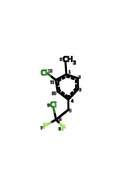 Cc1ccc(CC(F)(F)Cl)cc1Cl